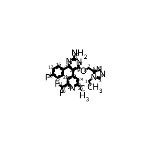 CCn1cnnc1COc1nc(N)nc(-c2ccc(F)cc2)c1-c1cc(C)nc(C(F)F)c1